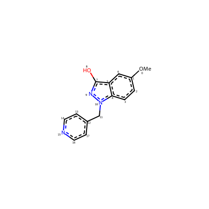 COc1ccc2c(c1)c(O)nn2Cc1ccncc1